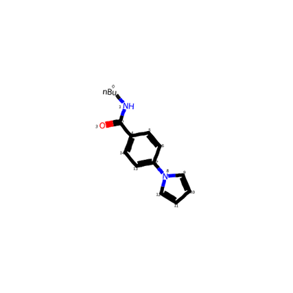 CCCCNC(=O)c1ccc(-n2cccc2)cc1